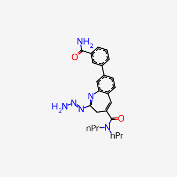 CCCN(CCC)C(=O)C1=Cc2ccc(-c3cccc(C(N)=O)c3)cc2N=C(N=NN)C1